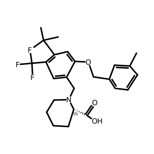 Cc1cccc(COc2cc(C(C)(C)C)c(C(F)(F)F)cc2CN2CCCC[C@H]2C(=O)O)c1